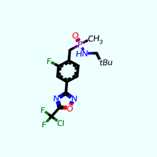 CC(C)(C)CNP(C)(=O)Cc1ccc(-c2noc(C(F)(F)Cl)n2)cc1F